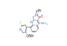 CCCN1Cc2nc3c(-c4cc(F)ncc4OC)cccc3c(N)c2C1=O